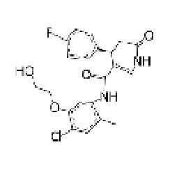 Cc1cc(Cl)c(OCCO)cc1NC(=O)C1=CNC(=O)C[C@@H]1c1ccc(F)cc1